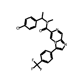 CC(c1ccc(Cl)cc1)N(C)C(=O)c1cn2c(-c3ccc(C(F)(F)F)cc3)cnc2cn1